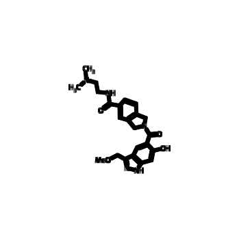 COCc1n[nH]c2cc(O)c(C(=O)N3Cc4ccc(C(=O)NCCN(C)C)cc4C3)cc12